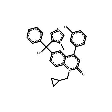 Cn1cncc1C(N)(c1cccnc1)c1ccc2c(c1)c(-c1cccc(Cl)c1)cc(=O)n2CC1CC1